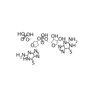 Nc1nc2c(ncn2[C@@H]2O[C@H](COP(=O)(O)OC3C[C@H](n4cnc5c(=S)[nH]c(N)nc54)O[C@@H]3COP(=O)(O)O)C(O)C2O)c(=S)[nH]1